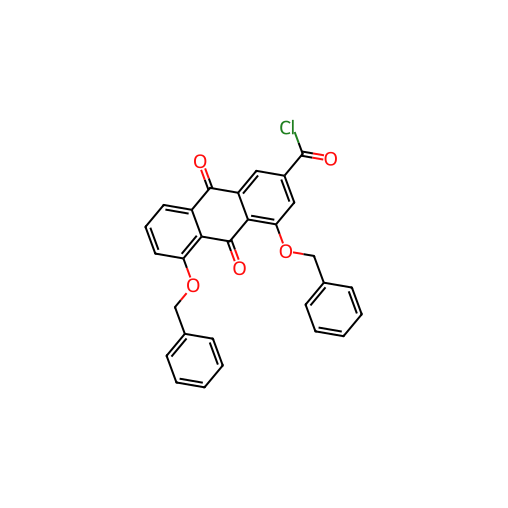 O=C(Cl)c1cc(OCc2ccccc2)c2c(c1)C(=O)c1cccc(OCc3ccccc3)c1C2=O